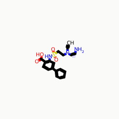 C#CN(/C=C\N)CCS(=O)(=O)Nc1cc(-c2ccccc2)ccc1C(=O)O